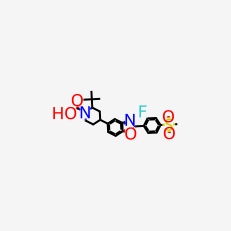 CC(C)(C)C1CC(c2ccc3oc(-c4ccc(S(C)(=O)=O)cc4F)nc3c2)CCN1C(=O)O